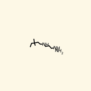 CCC(C)(C)CCNCCCNN